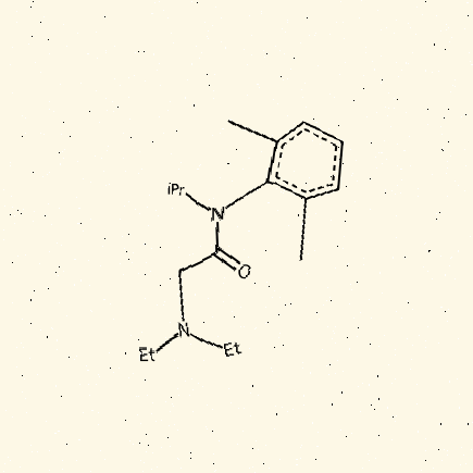 CCN(CC)CC(=O)N(c1c(C)cccc1C)C(C)C